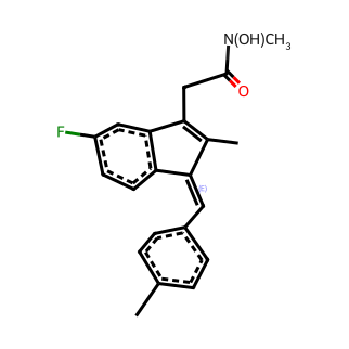 CC1=C(CC(=O)N(C)O)c2cc(F)ccc2/C1=C\c1ccc(C)cc1